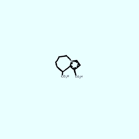 O=C(O)c1ccn2c1C(C(=O)O)CCCC2